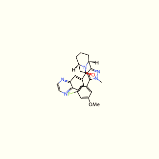 COc1cc(F)cc(-c2c3c(nn2C)[C@H]2CCC[C@@H](C3)N2C(=O)c2ccc3nccnc3c2)c1